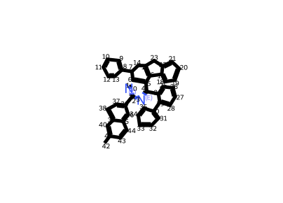 C/N=C(\N=C(/C1=CC(c2ccccc2)CC2=C1c1ccccc1C2)c1ccccc1-c1ccccc1)c1ccc2cc(C)ccc2c1